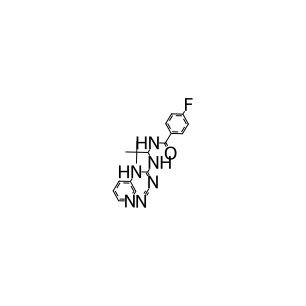 CC(C)(C)C(NC(=O)c1ccc(F)cc1)N/C(=N/C#N)Nc1cccnc1